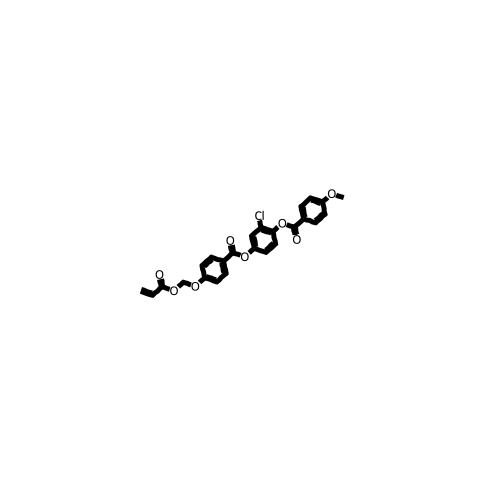 C=CC(=O)OCOc1ccc(C(=O)Oc2ccc(OC(=O)c3ccc(OC)cc3)c(Cl)c2)cc1